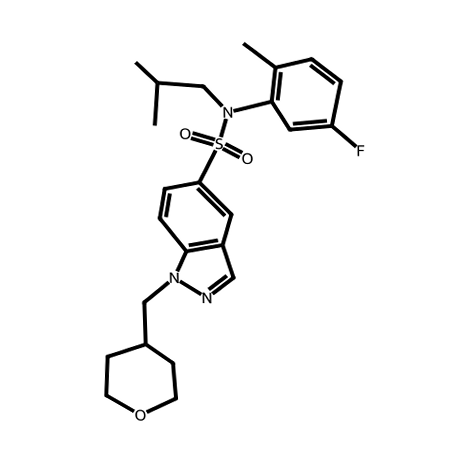 Cc1ccc(F)cc1N(CC(C)C)S(=O)(=O)c1ccc2c(cnn2CC2CCOCC2)c1